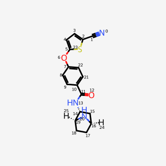 N#Cc1ccc(Oc2ccc(C(=O)N[C@@H]3C[C@H]4CC[C@@H]3N4)cc2)s1